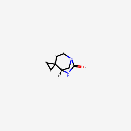 O=C1N[C@H]2CN1CCC21CC1